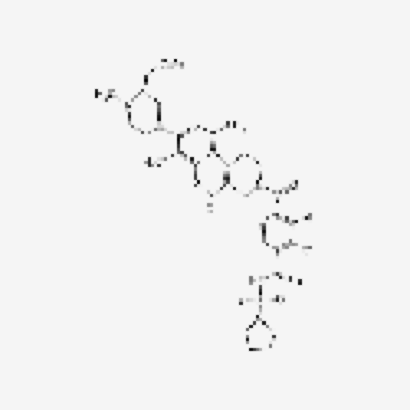 COC[C@H]1CN(c2cc(C)c3c4c(c(=O)oc3c2C)CN(C(=O)c2ccc(C(=O)NS(=O)(=O)N3CCCC3)c(Cl)c2F)CC4)CCN1C